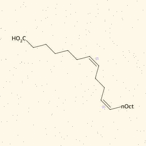 CCCCCCCC/C=C\CC/C=C\CCCCCC(=O)O